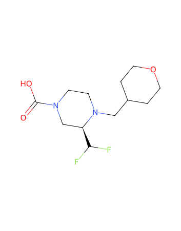 O=C(O)N1CCN(CC2CCOCC2)[C@@H](C(F)F)C1